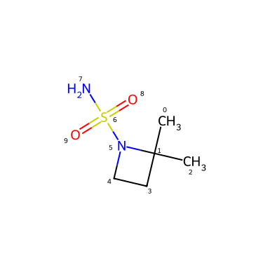 CC1(C)CCN1S(N)(=O)=O